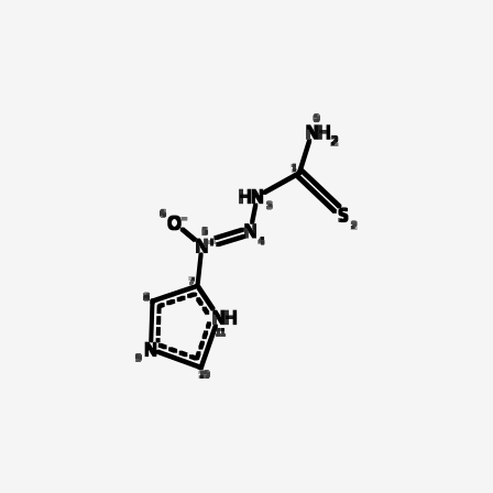 NC(=S)NN=[N+]([O-])c1cnc[nH]1